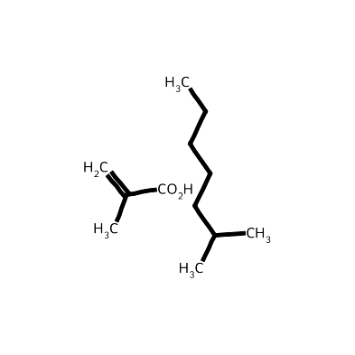 C=C(C)C(=O)O.CCCCCC(C)C